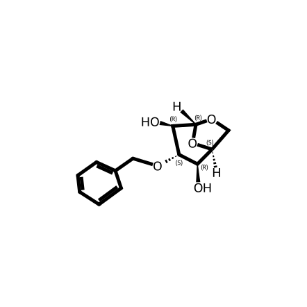 O[C@H]1[C@@H]2OC[C@H](O2)[C@@H](O)[C@@H]1OCc1ccccc1